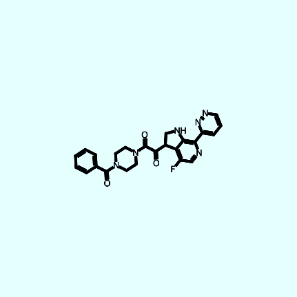 O=C(C(=O)N1CCN(C(=O)c2ccccc2)CC1)C1CNc2c(-c3cccnn3)ncc(F)c21